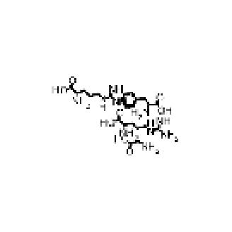 N=C(N)NCCC[C@H](N)C(=O)O.N=C(N)NCCC[C@H](N)C(=O)O.NCC(=O)O.N[C@@H](Cc1ccccc1)C(=O)O